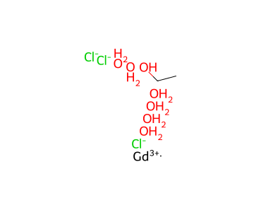 CCO.O.O.O.O.O.O.[Cl-].[Cl-].[Cl-].[Gd+3]